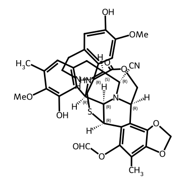 COc1cc2c(cc1O)CCN[C@]21CS[C@@H]2c3c(OC=O)c(C)c4c(c3[C@H](COC1=O)N1[C@@H]2[C@@H]2N[C@@H](Cc3cc(C)c(OC)c(O)c32)[C@@H]1C#N)OCO4